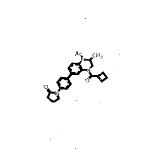 CC(=O)N1c2ccc(-c3ccc(N4CCCC4=O)cc3)cc2N(C(=O)C2CCC2)CC1C